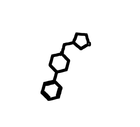 c1ccc(C2CCN(CC3CCOC3)CC2)cc1